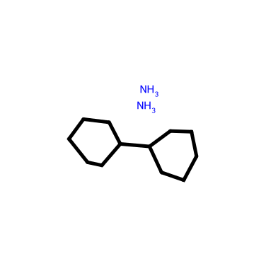 C1CCC(C2CCCCC2)CC1.N.N